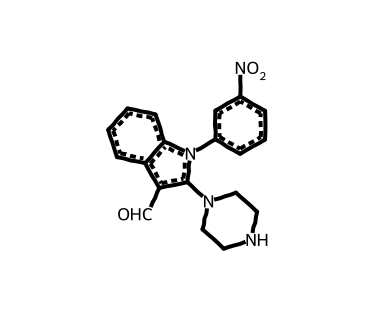 O=Cc1c(N2CCNCC2)n(-c2cccc([N+](=O)[O-])c2)c2ccccc12